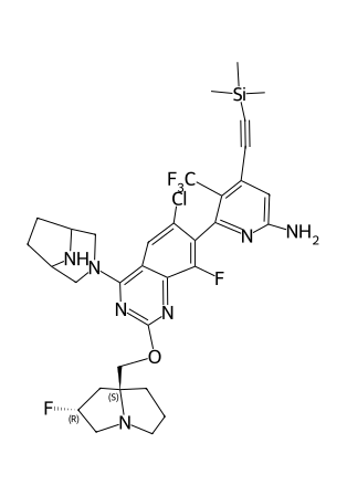 C[Si](C)(C)C#Cc1cc(N)nc(-c2c(Cl)cc3c(N4CC5CCC(C4)N5)nc(OC[C@@]45CCCN4C[C@H](F)C5)nc3c2F)c1C(F)(F)F